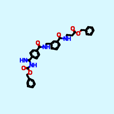 N=C(NC(=O)OCc1ccccc1)c1ccc(C(=O)NCc2cccc(C(=O)NCCC(=O)OCc3ccccc3)c2)cc1